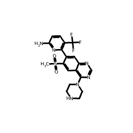 CS(=O)(=O)c1cc2c(N3CCNCC3)ncnc2cc1-c1nc(N)ccc1C(F)(F)F